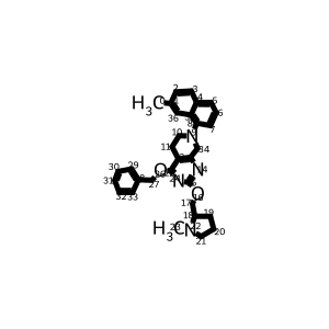 Cc1ccc2cccc(N3CCc4c(nc(OCC5CCCN5C)nc4OCc4ccccc4)C3)c2c1